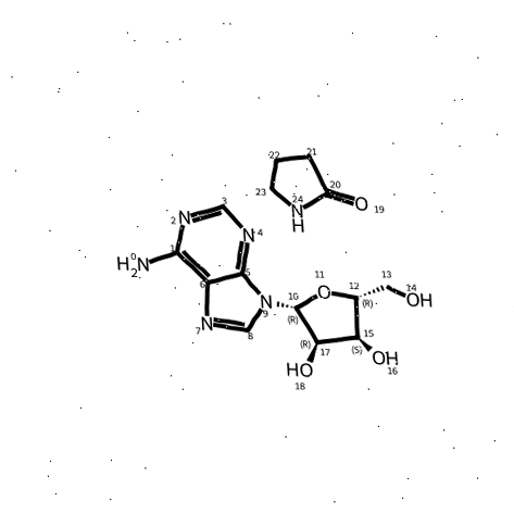 Nc1ncnc2c1ncn2[C@@H]1O[C@H](CO)[C@@H](O)[C@H]1O.O=C1CCCN1